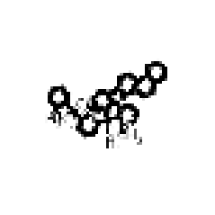 Cc1ccccc1C(C)(C)c1cccc(C(C)(c2c(C)ccc3c2oc2c3ccc3c4ccccc4ccc32)c2cccc[n+]2C)[n+]1C